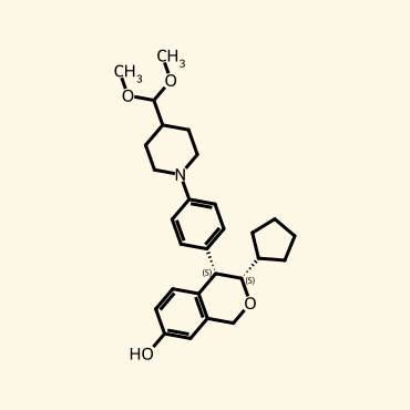 COC(OC)C1CCN(c2ccc([C@H]3c4ccc(O)cc4CO[C@H]3C3CCCC3)cc2)CC1